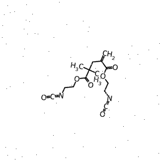 C=C(CC(C)(C)C(=O)OCCN=C=O)C(=O)OCCN=C=O